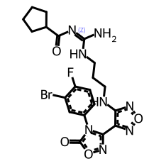 N/C(=N/C(=O)C1CCCC1)NCCCNc1nonc1-c1noc(=O)n1-c1ccc(F)c(Br)c1